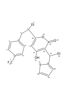 CCC(Cc1ccc(C(F)(F)F)cc1)c1cc(O)c(C(CC)c2cccs2)c(=O)o1